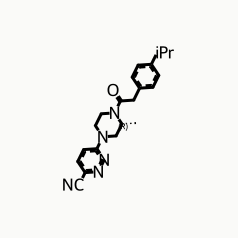 CC(C)c1ccc(CC(=O)N2CCN(c3ccc(C#N)nn3)C[C@H]2C)cc1